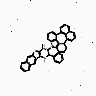 C1=Cc2c3c4c(cccc4n2C2Nc4sc5cc6ccccc6cc5c4NC2c2ccccc2)-c2cccc4cccc(c24)C3C1